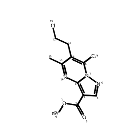 CCCOC(=O)c1cnn2c(Cl)c(CCCl)c(C)nc12